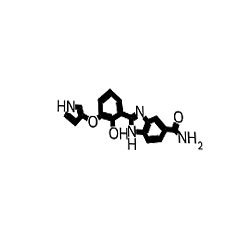 NC(=O)c1ccc2[nH]c(-c3cccc(Oc4cc[nH]c4)c3O)nc2c1